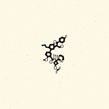 CCCc1cc2oc(-c3ccc(F)cc3)c(C=O)c2cc1-c1ccc(OC)c(C(=O)NC2(c3ncccn3)CC(OC(F)F)C2)c1